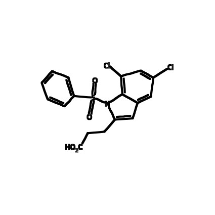 O=C(O)CCc1cc2cc(Cl)cc(Cl)c2n1S(=O)(=O)c1ccccc1